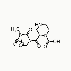 CCN(C(=O)C1CNCCN1C(=O)O)C(=O)N(C)C#N